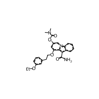 CCOc1cccc(CCOc2cc(OC(=O)N(C)C)cn3c2c(C(N)=O)c2ccccc23)c1